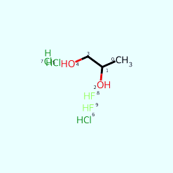 CC(O)CO.Cl.Cl.Cl.F.F